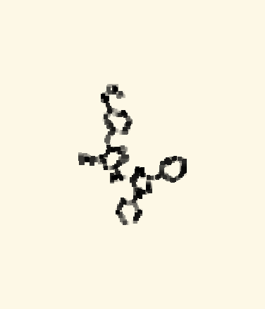 CC(C)N(CC(=O)Nc1nc(-c2ccccc2)cn1-c1ccccc1)C(=O)Cc1cccc(OC(F)(F)F)c1